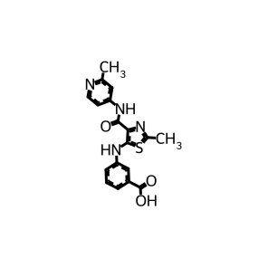 Cc1cc(NC(=O)c2nc(C)sc2Nc2cccc(C(=O)O)c2)ccn1